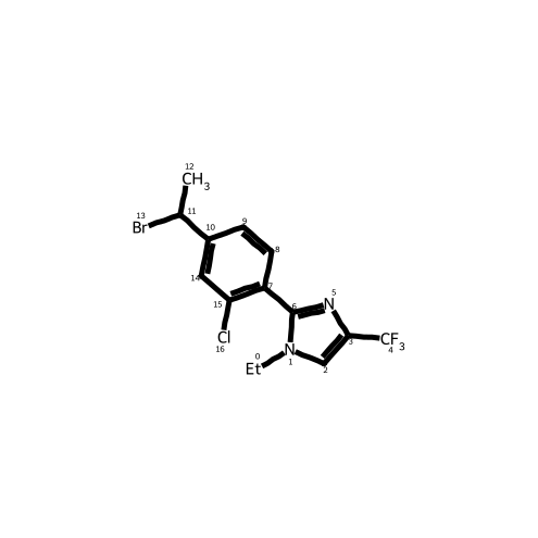 CCn1cc(C(F)(F)F)nc1-c1ccc(C(C)Br)cc1Cl